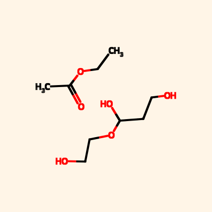 CCOC(C)=O.OCCOC(O)CCO